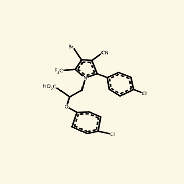 N#Cc1c(Br)c(C(F)(F)F)n(CC(Oc2ccc(Cl)cc2)C(=O)O)c1-c1ccc(Cl)cc1